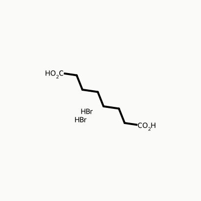 Br.Br.O=C(O)CCCCCCC(=O)O